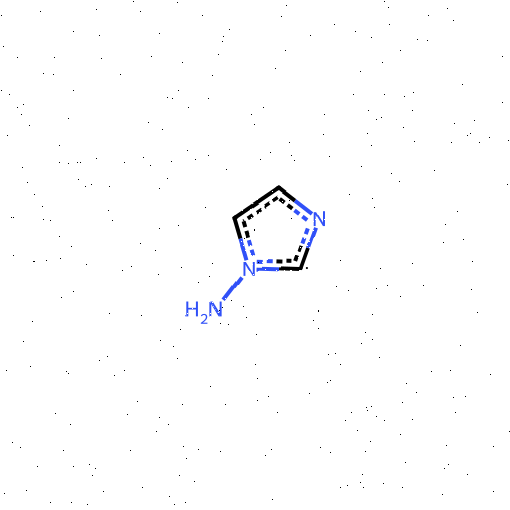 Nn1[c]ncc1